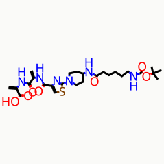 C=C(NC(=O)C(=C)NC(=O)c1csc(N2CCC(NC(=O)CCCCCNC(=O)OC(C)(C)C)CC2)n1)C(=O)O